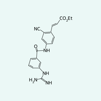 CCOC(=O)C=Cc1ccc(NC(=O)c2cccc(NC(=N)N)c2)cc1C#N